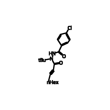 CCCCCCC#CC(=O)N(NC(=O)c1ccc(Cl)cc1)C(C)(C)C